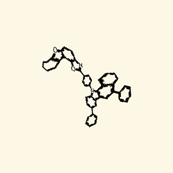 C1=Cc2c(oc3ccc4nc(-c5ccc(-n6c7ccc(-c8ccccc8)cc7c7cc(-c8ccccc8)c8ccccc8c76)cc5)oc4c23)CC1